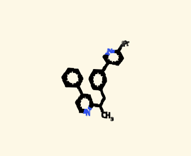 CC(C)c1ccc(-c2cccc(CC(C)c3cc(-c4ccccc4)ccn3)c2)cn1